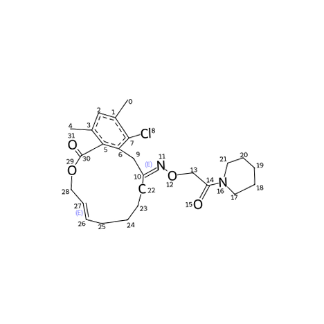 Cc1cc(C)c2c(c1Cl)C/C(=N/OCC(=O)N1CCCCC1)CCCC/C=C/COC2=O